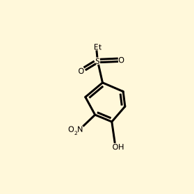 CCS(=O)(=O)c1ccc(O)c([N+](=O)[O-])c1